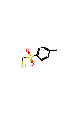 Cc1ccc(S(=O)(=O)CS)cc1